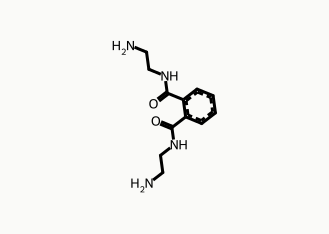 NCCNC(=O)c1ccccc1C(=O)NCCN